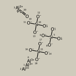 [Al+3].[Al+3].[Al+3].[Al+3].[O-][Si]([O-])([O-])[O-].[O-][Si]([O-])([O-])[O-].[O-][Si]([O-])([O-])[O-].[O]=[Pb]